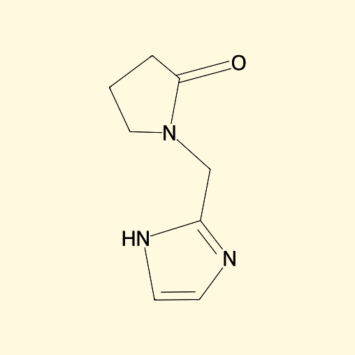 O=C1CCCN1Cc1ncc[nH]1